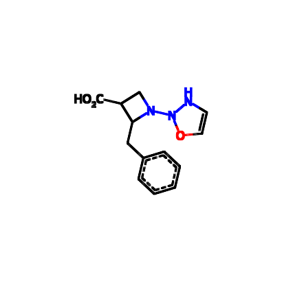 O=C(O)C1CN(N2NC=CO2)C1Cc1ccccc1